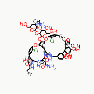 CC(C)CCC(=O)N[C@H]1CN[C@@H](CC(N)=O)C(=O)N[C@H]2C(=O)NCc3ccc(O)c(c3)-c3c(O)cc(O)cc3[C@@H](C(=O)O)C(=O)CCc3ccc(c(Cl)c3)OC3CC2=CC(=C3OC2OC(CO)C(O)C(O)C2OC2CC(C)(N)CC(CO)O2)Oc2ccc(cc2Cl)[C@H]1O